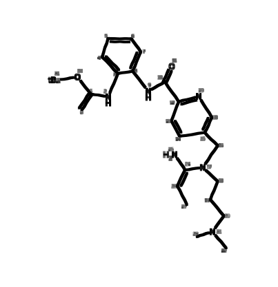 C=C(Nc1ccccc1NC(=O)c1ccc(CN(CCCN(C)C)/C(N)=C\C)cn1)OC(C)(C)C